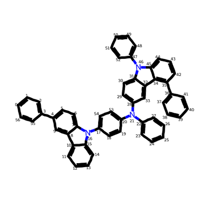 c1ccc(-c2ccc3c(c2)c2ccccc2n3-c2ccc(N(c3ccccc3)c3ccc4c(c3)c3c(-c5ccccc5)cccc3n4-c3ccccc3)cc2)cc1